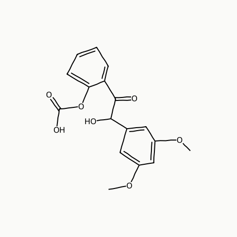 COc1cc(OC)cc(C(O)C(=O)c2ccccc2OC(=O)O)c1